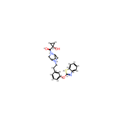 O=C(N1CC2CC1CN2CCc1cccc(Oc2nc3ccccc3s2)c1)C1(O)CC1